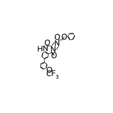 O=C1Nc2ccc(-c3cccc(OC(F)(F)F)c3)cc2C(=O)N2CCN(C(=O)COc3ccccc3)CC12